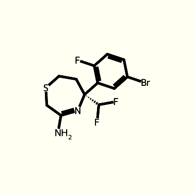 NC1=N[C@@](c2cc(Br)ccc2F)(C(F)F)CCSC1